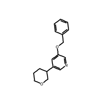 [CH]1CCC(c2cncc(OCc3ccccc3)c2)CO1